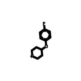 Fc1ccc(OC2CC[N]CC2)cc1